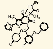 Cc1c(-n2nccn2)sc2c1c(=O)n(C(C)(C)C(=O)NC(C)C)c(=O)n2C[C@H](OC1CCC(=O)CC1)c1cc(F)ccc1OCc1ccccc1